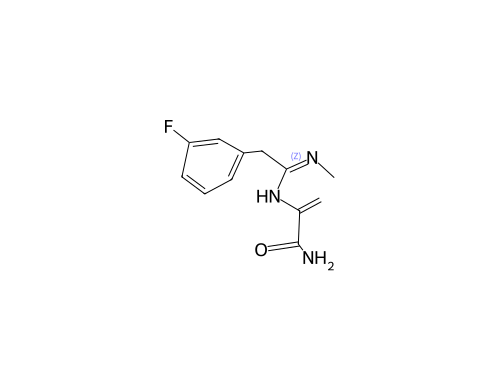 C=C(N/C(Cc1cccc(F)c1)=N\C)C(N)=O